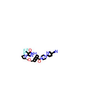 N#Cc1ccc(N2CCN(C(=O)C34C5C6C3C3C4C5C63COC[C@@H]3CCCN3c3cn[nH]c(=O)c3C(F)(F)F)CC2)nc1